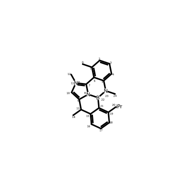 Cc1cccc2c1-c1n3c(c[n+]1C)C(C)c1cccc(C(C)C)c1B3N2C